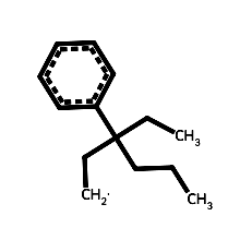 [CH2]CC(CC)(CCC)c1ccccc1